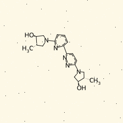 C[C@H]1CN(c2ccc(-c3[c]ccc(N4C[C@H](C)[C@@H](O)C4)n3)nn2)C[C@@H]1O